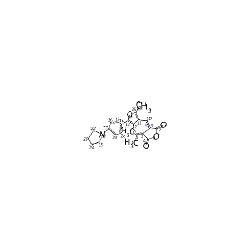 CC(C)=C1C(=O)OC(=O)/C1=C/c1cc(-c2ccc(N3CCCC3)cc2)oc1C